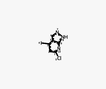 Clc1cc(I)c2cn[nH]c2n1